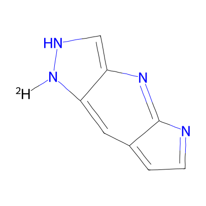 [2H]n1[nH]cc2nc3nccc3cc21